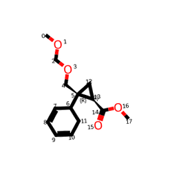 COCOC[C@@]1(C2C=CC=CC2)C[C@H]1C(=O)OC